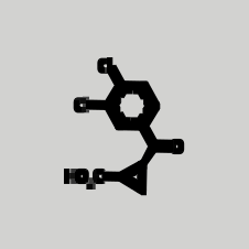 O=C(O)C1C[C@@H]1C(=O)c1ccc(Cl)c(Cl)c1